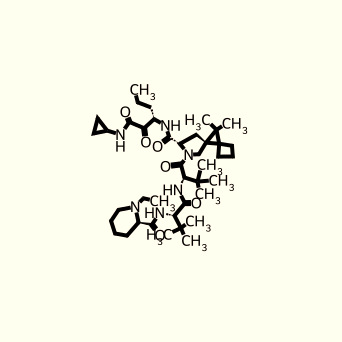 CCC[C@H](NC(=O)[C@@H]1C[C@@]2(CN1C(=O)[C@@H](NC(=O)[C@@H](NC(=O)[C@H]1CCCCN1CC)C(C)(C)C)C(C)(C)C)C(C)(C)C21CCC1)C(=O)C(=O)NC1CC1